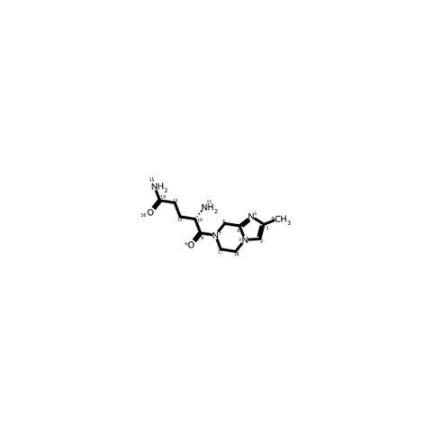 Cc1cn2c(n1)CN(C(=O)[C@@H](N)CCC(N)=O)CC2